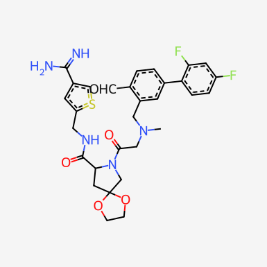 CN(CC(=O)N1CC2(CC1C(=O)NCc1cc(C(=N)N)cs1)OCCO2)Cc1cc(-c2ccc(F)cc2F)ccc1C=O